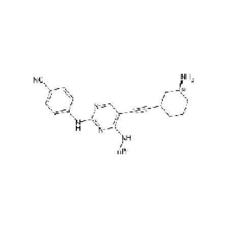 CCCNc1nc(Nc2ccc(C#N)cc2)ncc1C#CC1CCC[C@H](N)C1